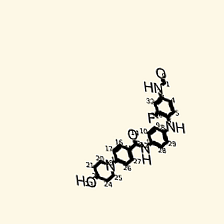 O=CNc1ccc(Nc2ccc(NC(=O)c3ccc(N4CCC(O)CC4)cc3)cc2)c(F)c1